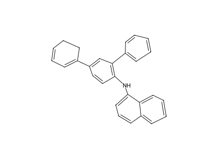 C1=CCCC(c2ccc(Nc3cccc4ccccc34)c(-c3ccccc3)c2)=C1